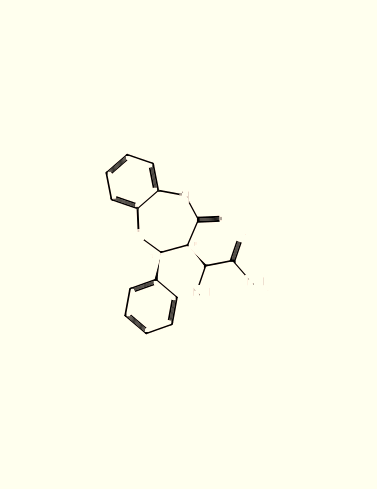 NC(=O)C(N)[C@@H]1C(=O)Nc2ccccc2S[C@@H]1c1ccccc1